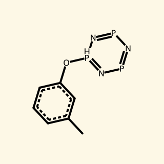 Cc1cccc(O[PH]2=NP=NP=N2)c1